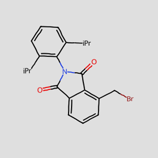 CC(C)c1cccc(C(C)C)c1N1C(=O)c2cccc(CBr)c2C1=O